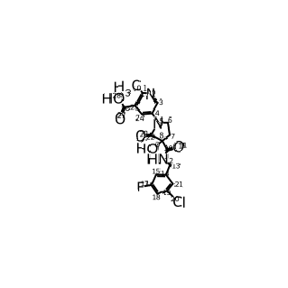 Cc1ncc(N2CCC(O)(C(=O)NCc3cc(F)cc(Cl)c3)C2=O)cc1C(=O)O